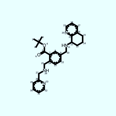 CC(C)(C)OC(=O)c1cc(CNC2CCCc3cccnc32)ccc1CNCc1ccccn1